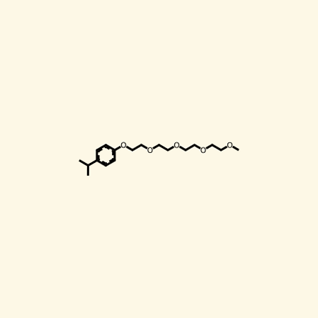 COCCOCCOCCOCCOc1ccc(C(C)C)cc1